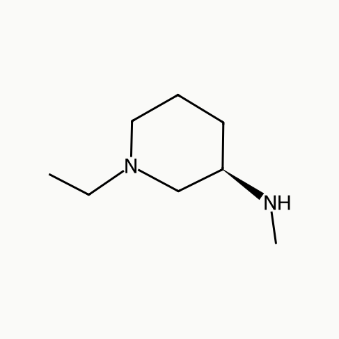 CCN1CCC[C@@H](NC)C1